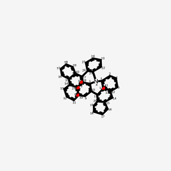 c1ccc(N(c2ccccc2-c2cccc3ccccc23)c2ccccc2-c2cc3ccccc3c3ccccc23)cc1